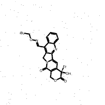 CCC(C)CON=Cc1c2c(nc3ccccc13)-c1cc3c(c(=O)n1C2)COC(=O)[C@]3(O)CC